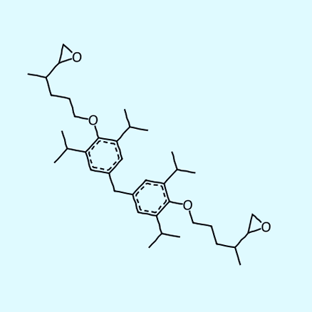 CC(C)c1cc(Cc2cc(C(C)C)c(OCCCC(C)C3CO3)c(C(C)C)c2)cc(C(C)C)c1OCCCC(C)C1CO1